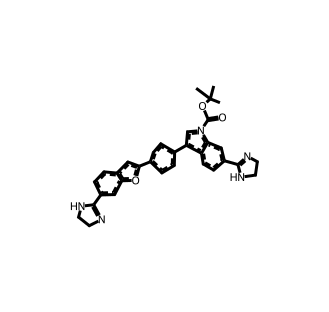 CC(C)(C)OC(=O)n1cc(-c2ccc(-c3cc4ccc(C5=NCCN5)cc4o3)cc2)c2ccc(C3=NCCN3)cc21